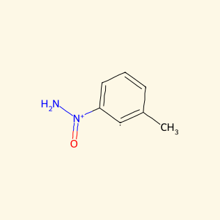 Cc1[c]c([N+](N)=O)ccc1